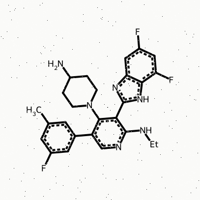 CCNc1ncc(-c2cc(C)cc(F)c2)c(N2CCC(N)CC2)c1-c1nc2cc(F)cc(F)c2[nH]1